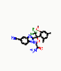 COc1cc(C)cc(C)c1C(OCC(N)=O)(c1nc2cc(C#N)ccc2[nH]1)C(F)(F)F